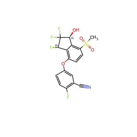 CS(=O)(=O)c1ccc(Oc2ccc(F)c(C#N)c2)c2c1[C@H](O)C(F)(F)[C@@H]2F